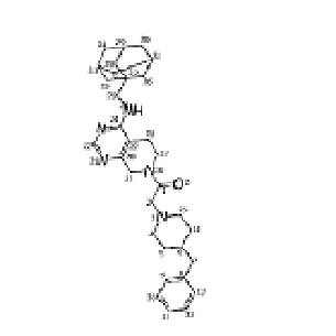 O=C(CN1CCC(Cc2ccccc2)CC1)N1CCc2c(ncnc2NCC23CC4CC(CC(C4)C2)C3)C1